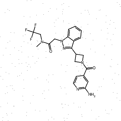 CN(CC(F)(F)F)C(=O)Cn1nc(C2CN(C(=O)c3ccnc(N)c3)C2)c2ccccc21